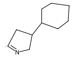 [C]1=NCC(C2CCCCC2)C1